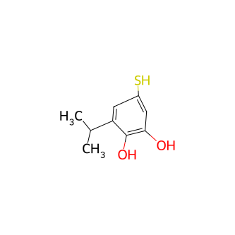 CC(C)c1cc(S)cc(O)c1O